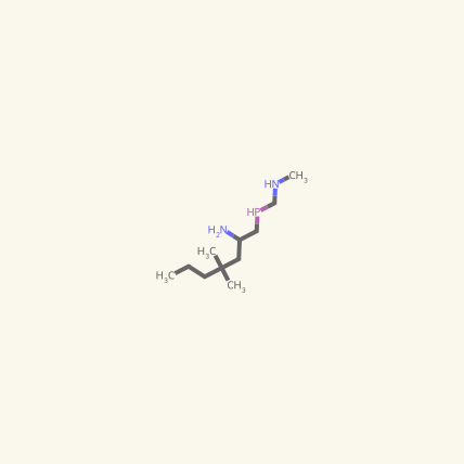 CCCC(C)(C)CC(N)CPCNC